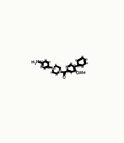 COc1cc(C(=O)N2CCN(c3ccc(N)nc3)CC2)ncc1-c1ccccc1